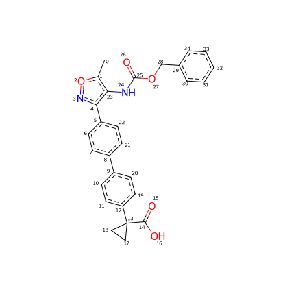 Cc1onc(-c2ccc(-c3ccc(C4(C(=O)O)CC4)cc3)cc2)c1NC(=O)OCc1ccccc1